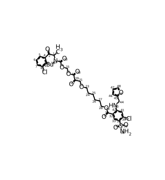 CC(C(=O)c1cccc(Cl)c1)N(C(=O)OCOC(=O)C(=O)COCCCCCCOC(=O)c1cc(S(N)(=O)=O)c(Cl)cc1NCc1ccco1)C(C)(C)C